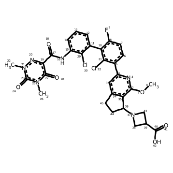 COc1nc(-c2ccc(F)c(-c3cccc(NC(=O)c4nn(C)c(=O)n(C)c4=O)c3Cl)c2Cl)cc2c1C(N1CC(C(=O)O)C1)CC2